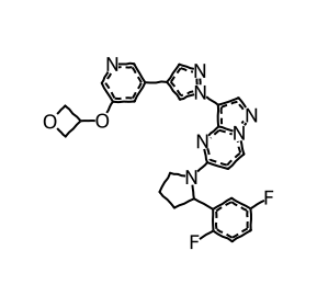 Fc1ccc(F)c(C2CCCN2c2ccn3ncc(-n4cc(-c5cncc(OC6COC6)c5)cn4)c3n2)c1